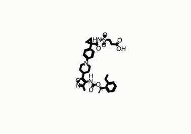 CCc1ccccc1[C@@H](C)OC(=O)Nc1c(C)noc1C1CCN(c2ccc(C3(C(=O)NS(=O)(=O)CCC(=O)O)CC3)cc2)CC1